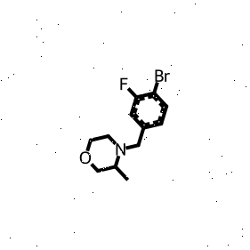 CC1COCCN1Cc1ccc(Br)c(F)c1